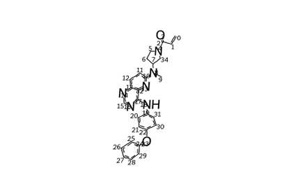 C=CC(=O)N1CCC(N(C)c2ccc3ncnc(Nc4ccc(Oc5ccccc5)cc4)c3n2)C1